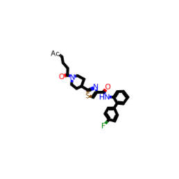 CC(=O)CCCC(=O)N1CCC(c2nc(C(=O)Nc3ccccc3-c3ccc(F)cc3)cs2)CC1